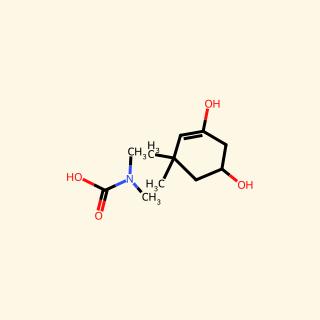 CC1(C)C=C(O)CC(O)C1.CN(C)C(=O)O